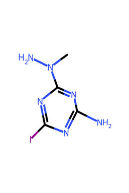 CN(N)c1nc(N)nc(I)n1